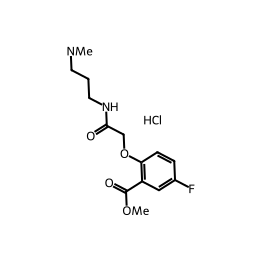 CNCCCNC(=O)COc1ccc(F)cc1C(=O)OC.Cl